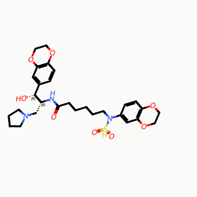 O=C(CCCCCN(c1ccc2c(c1)OCCO2)[SH](=O)=O)N[C@H](CN1CCCC1)[C@H](O)c1ccc2c(c1)OCCO2